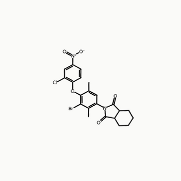 Cc1cc(N2C(=O)C3CCCCC3C2=O)c(C)c(Br)c1Oc1ccc([N+](=O)[O-])cc1Cl